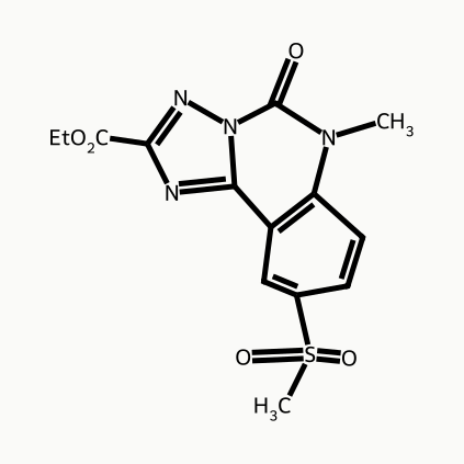 CCOC(=O)c1nc2c3cc(S(C)(=O)=O)ccc3n(C)c(=O)n2n1